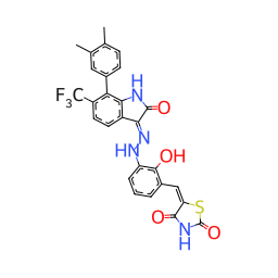 Cc1ccc(-c2c(C(F)(F)F)ccc3c2NC(=O)C3=NNc2cccc(C=C3SC(=O)NC3=O)c2O)cc1C